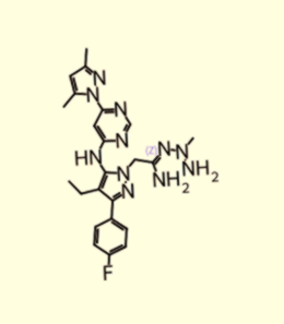 CCc1c(-c2ccc(F)cc2)nn(C/C(N)=N/N(C)N)c1Nc1cc(-n2nc(C)cc2C)ncn1